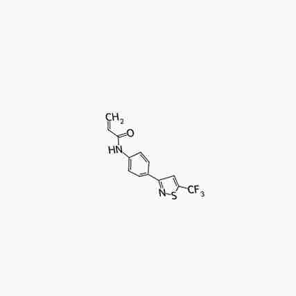 C=CC(=O)Nc1ccc(-c2cc(C(F)(F)F)sn2)cc1